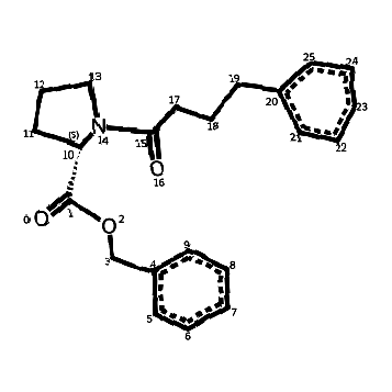 O=C(OCc1ccccc1)[C@@H]1CCCN1C(=O)CCCc1ccccc1